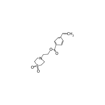 C=Cc1ccc(C(=O)OCCN2CCS(=O)(=O)CC2)cc1